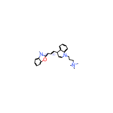 CN1/C(=C/C=C/C2C=CN(CCC[N+](C)(C)C)c3ccccc32)Oc2ccccc21